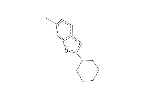 Cc1ccc2cc(C3CCCCC3)oc2c1